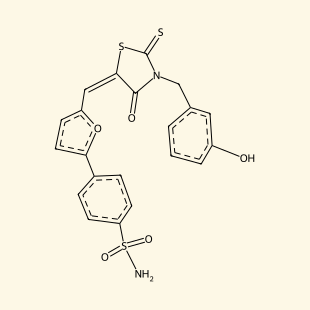 NS(=O)(=O)c1ccc(-c2ccc(C=C3SC(=S)N(Cc4cccc(O)c4)C3=O)o2)cc1